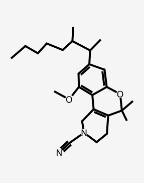 CCCCCC(C)C(C)c1cc(OC)c2c(c1)OC(C)(C)C1=C2CN(C#N)CC1